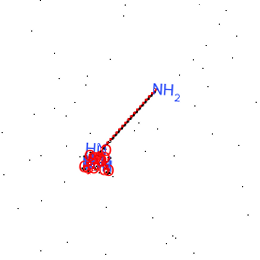 CCCCN(C(=O)OC(C)(C)C)C(C(CCCCCCNC(=O)CCCCCCCCCCCCCCCCCCCCCCCCCCCCCCCCCCCN)CN(CCCC(N(C)C(=O)OC(C)(C)C)N(CCC)C(=O)OC(C)(C)C)C(=O)OC(C)(C)C)(N(C)C(=O)OC(C)(C)C)N(CCC)C(=O)OC(C)(C)C